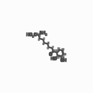 NC(CCCCCCC(=O)c1cccc(O)c1O)C(=O)O